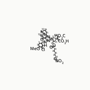 COc1ccc(CNc2nc(N3CCCC3COC(=O)CCCCCO[N+](=O)[O-])ncc2C(=O)N(C)c2ncccn2)cc1Cl.O=C(O)/C=C/C(=O)O